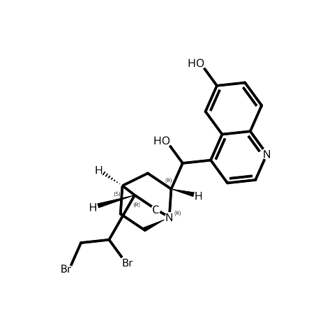 Oc1ccc2nccc(C(O)[C@H]3C[C@@H]4CC[N@@]3C[C@@H]4C(Br)CBr)c2c1